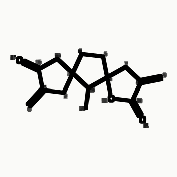 C=C1CC2(CCC3(CC(=C)C(=O)O3)C2C)CC1=O